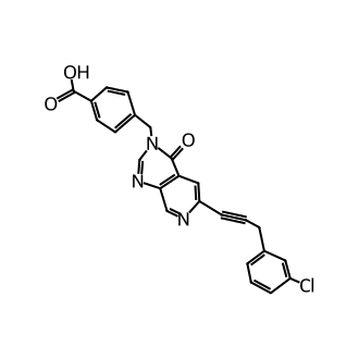 O=C(O)c1ccc(Cn2cnc3cnc(C#CCc4cccc(Cl)c4)cc3c2=O)cc1